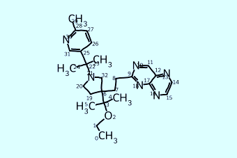 CCOC(C)(C)C1(CCc2ncc3nccnc3n2)CCN(C(C)(C)c2ccc(C)nc2)C1